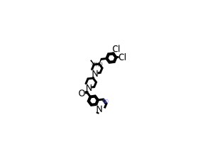 C=Nc1ccc(C(=O)N2CCC(N3CC[C@H](Cc4ccc(Cl)c(Cl)c4)[C@H](C)C3)CC2)cc1/C=C\C